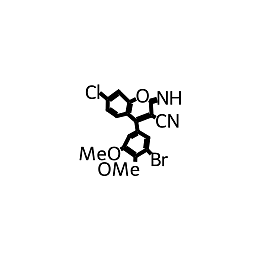 COc1cc(-c2c(C#N)c(=N)oc3cc(Cl)ccc23)cc(Br)c1OC